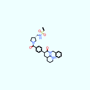 C=CS(=O)(=O)NC[C@H]1CCN(C(=O)c2ccc(C(CC3CCCNC3)C(=O)NCc3ccccc3)cc2)C1